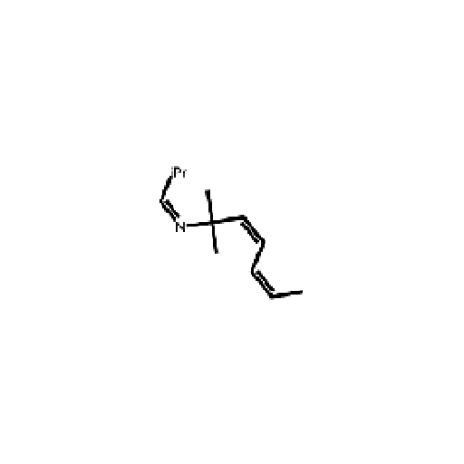 C/C=C\C=C/C(C)(C)/N=C\C(C)C